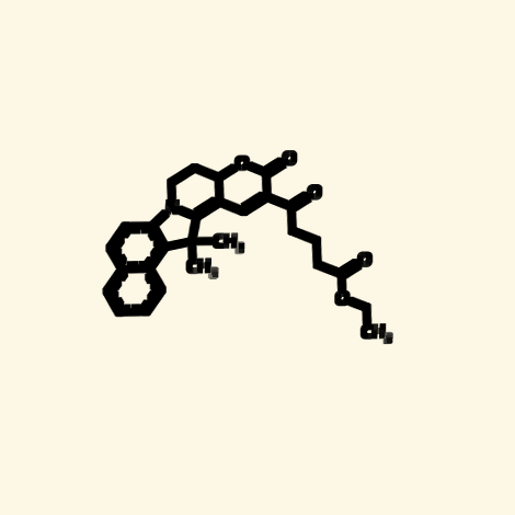 CCOC(=O)CCCC(=O)C1=CC2=C3N(CCC2OC1=O)c1ccc2ccccc2c1C3(C)C